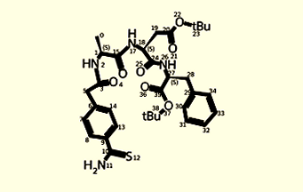 C[C@H](NC(=O)Cc1ccc(C(N)=S)cc1)C(=O)N[C@@H](CC(=O)OC(C)(C)C)C(=O)N[C@@H](Cc1ccccc1)C(=O)OC(C)(C)C